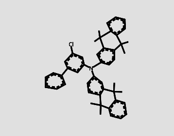 CC1(C)c2ccccc2C(C)(C)c2cc(N(c3cc(Cl)cc(-c4ccccc4)c3)c3ccc4c(c3)C(C)(C)c3ccccc3C4(C)C)ccc21